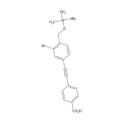 CCOC(=O)c1ccc(C#Cc2ccc(CO[Si](C)(C)C(C)(C)C)c(C(C)C)c2)cc1